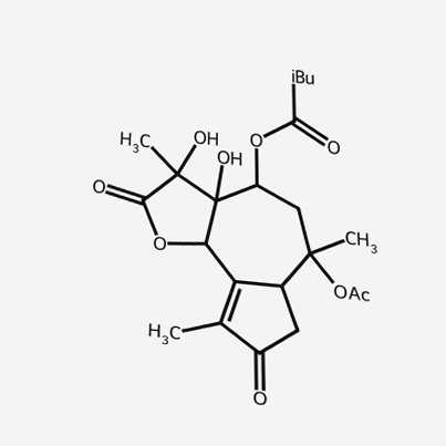 CCC(C)C(=O)OC1CC(C)(OC(C)=O)C2CC(=O)C(C)=C2C2OC(=O)C(C)(O)C12O